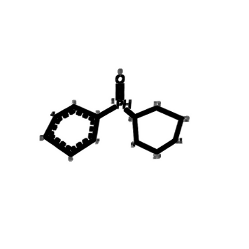 O=[PH](c1ccccc1)C1CCCCC1